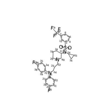 O=S(=O)(c1cccc(C(F)(F)F)c1)N(C1CC1)C1CCCN(CCCN(c2ccc(F)cc2)c2ccc(F)cc2)C1